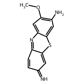 COc1cc2nc3ccc(=N)cc-3sc2cc1N